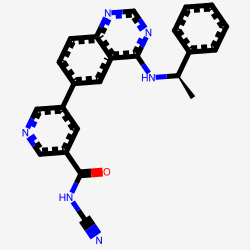 C[C@@H](Nc1ncnc2ccc(-c3cncc(C(=O)NC#N)c3)cc12)c1ccccc1